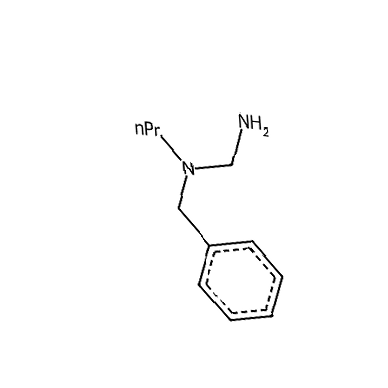 [CH2]CCN(CN)Cc1ccccc1